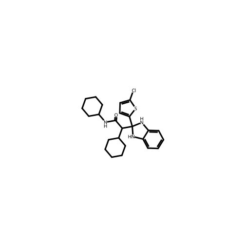 O=C(NC1CCCCC1)C(C1CCCCC1)C1(c2ccc(Cl)s2)Nc2ccccc2N1